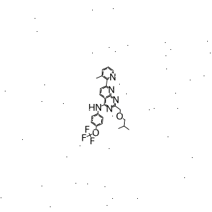 Cc1cccnc1-c1ccc2c(Nc3ccc(OC(F)(F)F)cc3)nc(COCC(C)C)nc2n1